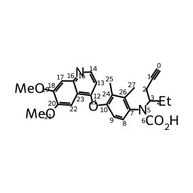 C#CCC(CC)N(C(=O)O)c1ccc(Oc2ccnc3cc(OC)c(OC)cc23)c(C)c1C